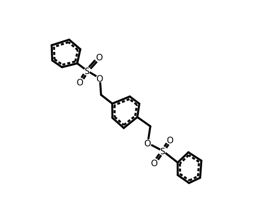 O=S(=O)(OCc1ccc(COS(=O)(=O)c2ccccc2)cc1)c1ccccc1